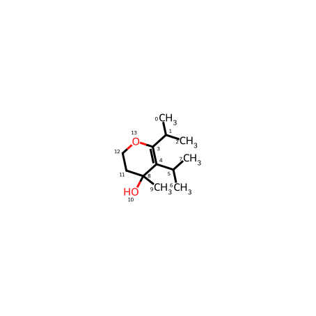 CC(C)C1=C(C(C)C)C(C)(O)CCO1